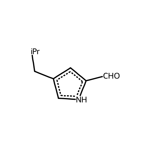 CC(C)Cc1c[nH]c(C=O)c1